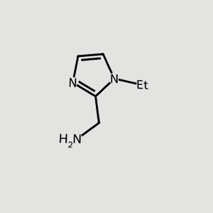 CCn1ccnc1CN